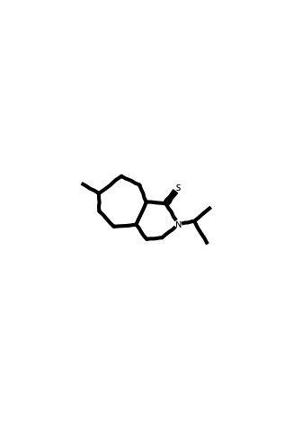 CC1CCC2CCN(C(C)C)C(=S)C2CC1